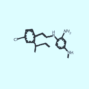 CCC(C)c1cc(Cl)ccc1CCNc1ccc(NC)cc1N